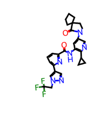 O=C(Nc1cc(N2CCC3(CCCC3)C2=O)cnc1C1CC1)c1cccc(-c2cnn(CC(F)(F)F)c2)n1